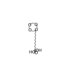 O=P(O)(O)CCCCCCCCCCCCC1CCOCCOCCCOCCO1